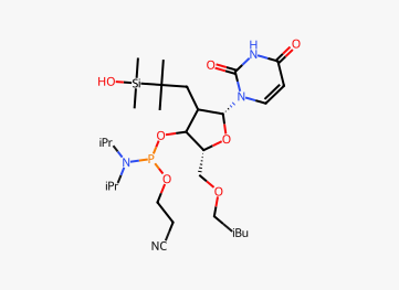 CCC(C)COC[C@H]1O[C@@H](n2ccc(=O)[nH]c2=O)C(CC(C)(C)[Si](C)(C)O)C1OP(OCCC#N)N(C(C)C)C(C)C